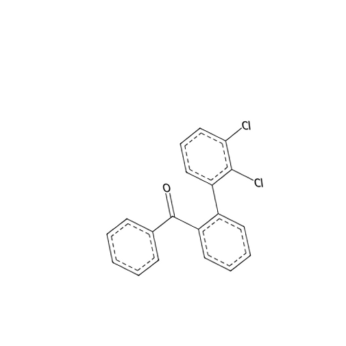 O=C(c1ccccc1)c1ccccc1-c1cccc(Cl)c1Cl